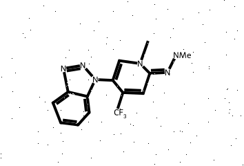 CN/N=c1/cc(C(F)(F)F)c(-n2nnc3ccccc32)cn1C